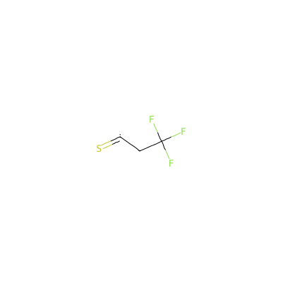 FC(F)(F)C[C]=S